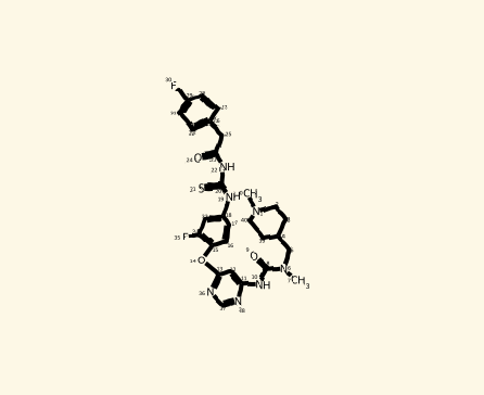 CN1CCC(CN(C)C(=O)Nc2cc(Oc3ccc(NC(=S)NC(=O)Cc4ccc(F)cc4)cc3F)ncn2)CC1